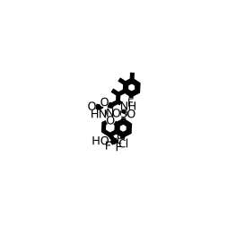 Cc1ccc(F)c(C(C)C(NS(=O)(=O)c2ccc(Cl)c3c2OCCC3(O)C(F)(F)F)c2n[nH]c(=O)o2)c1C